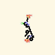 CCCc1cccc(C(=C\C=C\C2=[N+](CCCCS(=O)(=O)O)c3ccccc3C2(C)C)/C=C/C=C2/N=C3C(=CC(Cl)=CN3CCCCS(=O)(=O)O)C2(C)C)c1